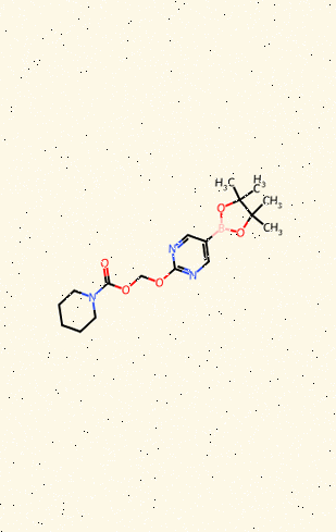 CC1(C)OB(c2cnc(OCOC(=O)N3CCCCC3)nc2)OC1(C)C